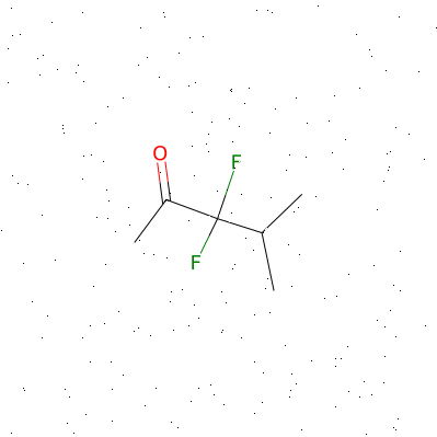 CC(=O)C(F)(F)C(C)C